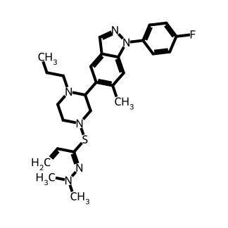 C=C/C(=N\N(C)C)SN1CCN(CCC)C(c2cc3cnn(-c4ccc(F)cc4)c3cc2C)C1